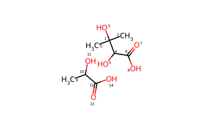 CC(C)(O)C(O)C(=O)O.CC(O)C(=O)O